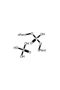 CCCCCOP(=O)(O)OCCCCC.O=P(O)(O)O